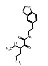 CCCC(NC)C(=O)C(=O)NCCc1ccc2c(c1)OCO2